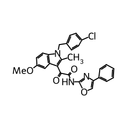 COc1ccc2c(c1)c(C(=O)C(=O)Nc1nc(-c3ccccc3)co1)c(C)n2Cc1ccc(Cl)cc1